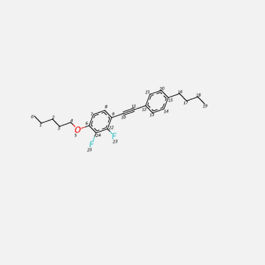 CCCCCOc1ccc(C#Cc2ccc(CCCC)cc2)c(F)c1F